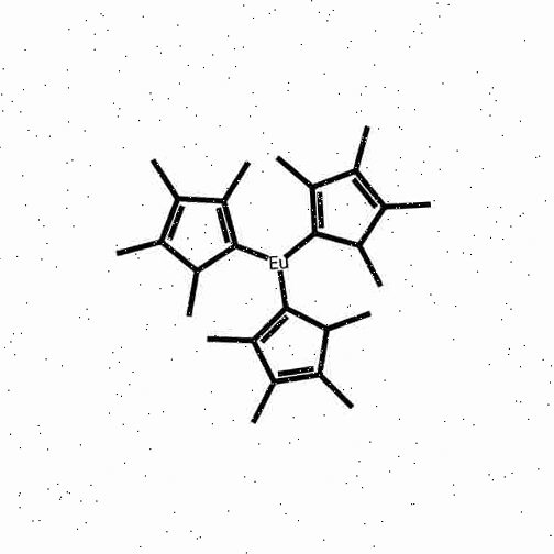 CC1=C(C)C(C)[C]([Eu]([C]2=C(C)C(C)=C(C)C2C)[C]2=C(C)C(C)=C(C)C2C)=C1C